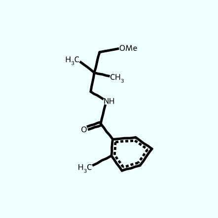 COCC(C)(C)CNC(=O)c1ccccc1C